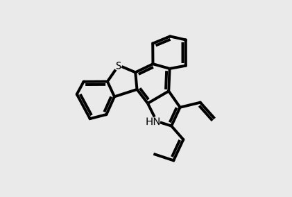 C=Cc1c(/C=C\C)[nH]c2c1c1ccccc1c1sc3ccccc3c21